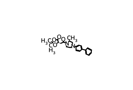 C[C@@H]1CN(c2ccc(-c3ccccc3)cc2)CCN1C(=O)C[C@@H]1OC(C)(C)OC1=O